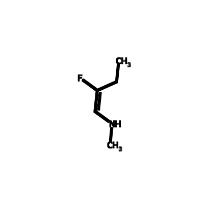 CC/C(F)=C\NC